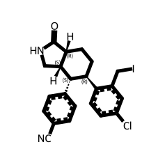 N#Cc1ccc([C@@H]2[C@@H]3CNC(=O)[C@@H]3CC[C@H]2c2ccc(Cl)cc2CI)cc1